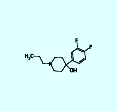 CCCN1CCC(O)(c2ccc(F)c(F)c2)CC1